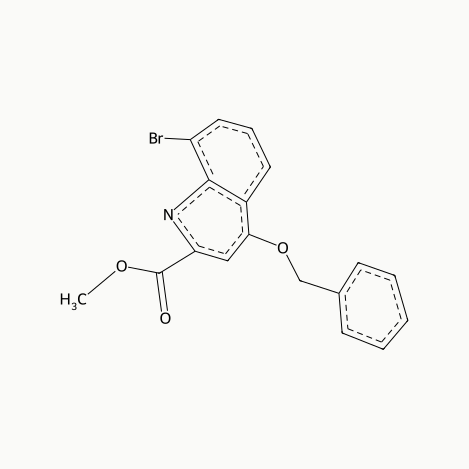 COC(=O)c1cc(OCc2ccccc2)c2cccc(Br)c2n1